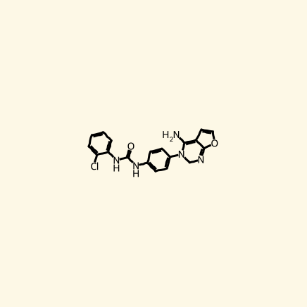 NC1=c2ccoc2=NCN1c1ccc(NC(=O)Nc2ccccc2Cl)cc1